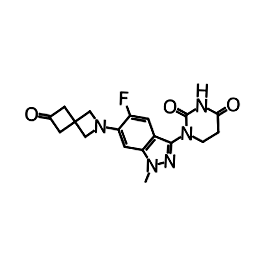 Cn1nc(N2CCC(=O)NC2=O)c2cc(F)c(N3CC4(CC(=O)C4)C3)cc21